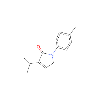 Cc1ccc(N2CC=C(C(C)C)C2=O)cc1